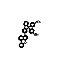 CC(C)(C)c1ccc(C2(c3ccc(C(C)(C)C)cc3)c3ccccc3-c3ccc(-c4ccc5c6c(cccc46)-c4ccccc4O5)cc32)cc1